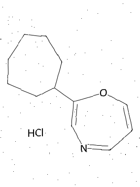 C1=COC(C2CCCCCC2)=CN=C1.Cl